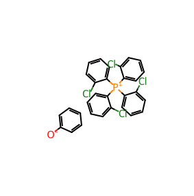 Clc1ccccc1[P+](c1ccccc1Cl)(c1ccccc1Cl)c1ccccc1Cl.[O-]c1ccccc1